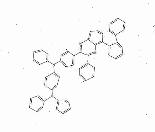 c1ccc(-c2ccccc2-c2cccc3nc(-c4ccc(N(c5ccccc5)c5ccc(N(c6ccccc6)c6ccccc6)cc5)cc4)c(-c4ccccc4)nc23)cc1